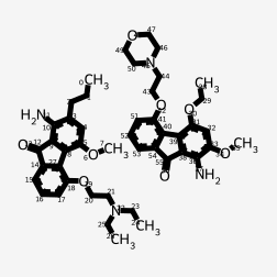 CCCc1cc(OC)c2c(c1N)C(=O)c1cccc(OCCN(CC)CC)c1-2.CCOc1cc(OC)c(N)c2c1-c1c(OCCN3CCOCC3)cccc1C2=O